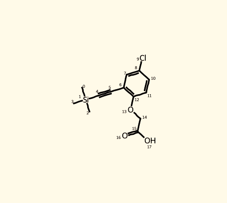 C[Si](C)(C)C#Cc1cc(Cl)ccc1OCC(=O)O